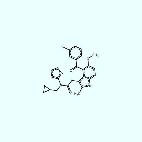 COc1ccc2[nH]c(C)c(CC(=O)N(CC3CC3)c3nccs3)c2c1C(=O)c1cccc(Cl)c1